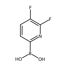 OB(O)c1ccc(F)c(F)n1